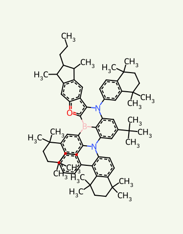 CCCC1C(C)c2cc3oc4c(c3cc2C1C)N(c1ccc2c(c1)C(C)(C)CCC2(C)C)c1cc(C(C)(C)C)cc2c1B4c1cc3c(cc1N2c1ccc2c(c1-c1ccccc1)C(C)(C)CCC2(C)C)C(C)(C)CCC3(C)C